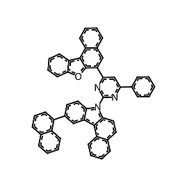 c1ccc(-c2cc(-c3cc4ccccc4c4c3oc3ccccc34)nc(-n3c4ccc(-c5cccc6ccccc56)cc4c4c5ccccc5ccc43)n2)cc1